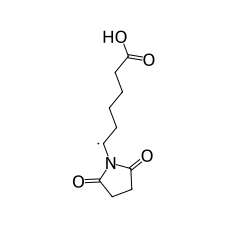 O=C(O)CCCC[CH]N1C(=O)CCC1=O